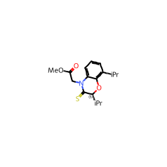 COC(=O)CN1C(=S)[C@H](C(C)C)Oc2c(C(C)C)cccc21